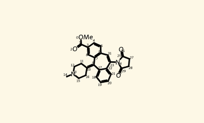 COC(=O)c1ccc2c(c1)C(=C1CCN(C)CC1)c1ccccc1C(N1C(=O)CCC1=O)=C2